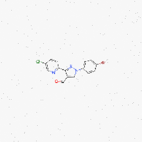 O=Cc1cn(-c2ccc(Br)cc2)nc1-c1ccc(Cl)cn1